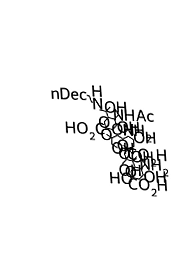 CCCCCCCCCCCCNCC(O)C1OC(OC(CO)C(O)C2OC(OC(CO)C(O)C3OC(O)(C(=O)O)CC(O)C3N)(C(=O)O)CC(O)C2N)(C(=O)O)CC(O)C1NC(C)=O